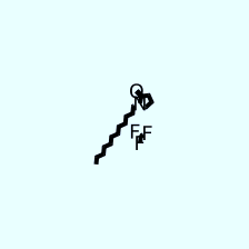 CCCCCCCCCCCCN1CCCC1=O.FC(F)F